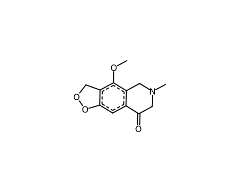 COc1c2c(cc3c1CN(C)CC3=O)OOC2